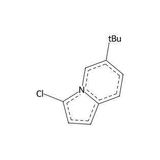 CC(C)(C)c1ccc2ccc(Cl)n2c1